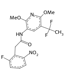 COc1nc(OC)c(C(C)(F)F)cc1NC(=O)Cc1c(F)cccc1[N+](=O)[O-]